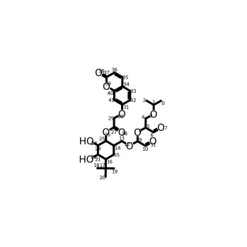 CC(C)OCC(C=O)OC(C=O)OCC1CC(C(C)(C)C)C(O)C(O)C1OC(=O)COc1ccc2ccc(=O)oc2c1